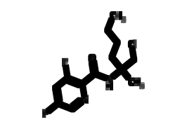 CCCCC(C)(CCl)NC(=O)c1ncc(F)cc1F